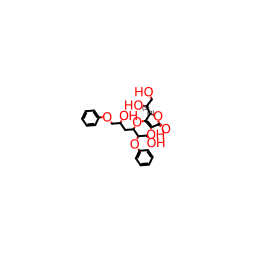 O=C1O[C@H]([C@@H](O)CO)C(OC(CC(O)COc2ccccc2)C(CO)Oc2ccccc2)=C1O